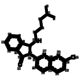 CC(C)CCCNC1c2ccccc2C(=O)N1c1ccc2ccc(Cl)nc2n1